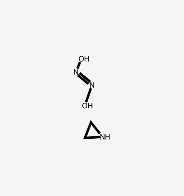 C1CN1.ON=NO